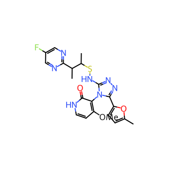 COc1cc[nH]c(=O)c1-n1c(NSC(C)C(C)c2ncc(F)cn2)nnc1-c1ccc(C)o1